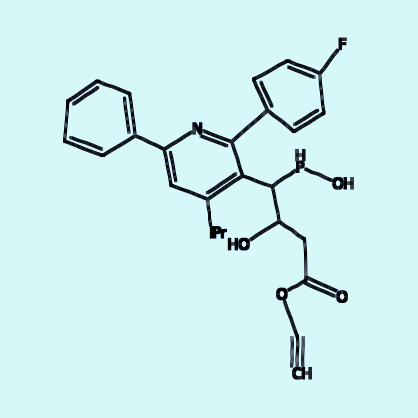 C#COC(=O)CC(O)C(PO)c1c(C(C)C)cc(-c2ccccc2)nc1-c1ccc(F)cc1